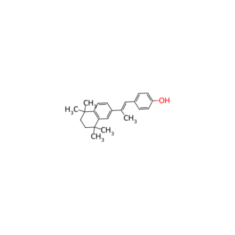 CC(=Cc1ccc(O)cc1)c1ccc2c(c1)C(C)(C)CCC2(C)C